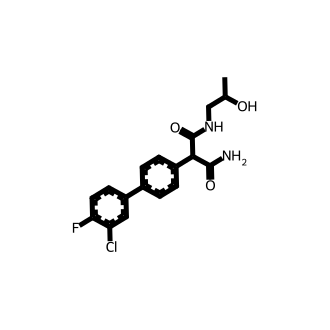 CC(O)CNC(=O)C(C(N)=O)c1ccc(-c2ccc(F)c(Cl)c2)cc1